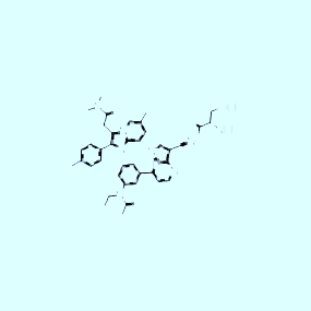 CCN(C(C)=O)c1cccc(-c2ccnc3c(C#N)cnn23)c1.Cc1ccc(-c2nc3ccc(C)cn3c2CC(=O)N(C)C)cc1.N[C@H](CO)C(=O)O